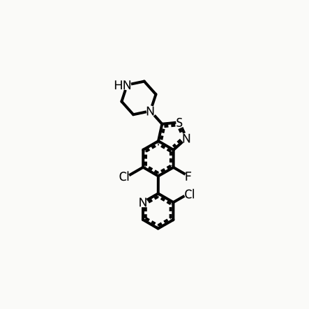 Fc1c(-c2ncccc2Cl)c(Cl)cc2c(N3CCNCC3)snc12